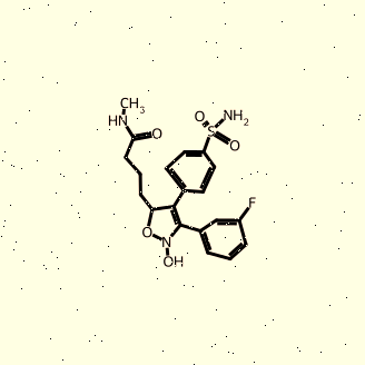 CNC(=O)CCCC1ON(O)C(c2cccc(F)c2)=C1c1ccc(S(N)(=O)=O)cc1